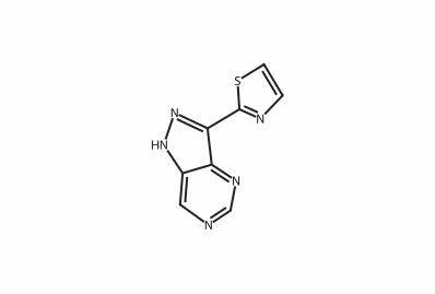 c1csc(-c2n[nH]c3cncnc23)n1